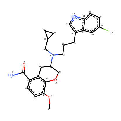 COc1ccc(C(N)=O)c2c1OCC(N(CCCc1c[nH]c3ccc(F)cc13)CC1CC1)C2